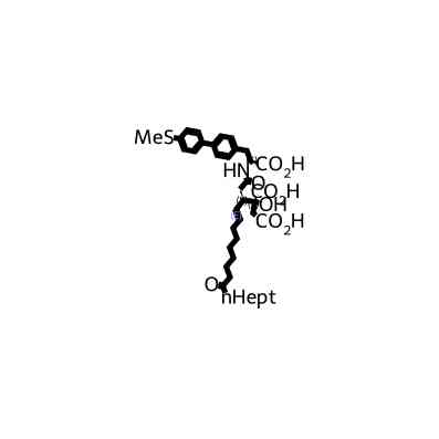 CCCCCCCC(=O)CCCCCC/C=C/[C@H](CC(=O)N[C@@H](Cc1ccc(-c2ccc(SC)cc2)cc1)C(=O)O)[C@@](O)(CC(=O)O)C(=O)O